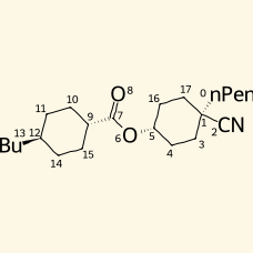 CCCCC[C@]1(C#N)CC[C@H](OC(=O)[C@H]2CC[C@H](CCCC)CC2)CC1